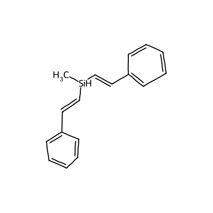 C[SiH](C=Cc1ccccc1)C=Cc1ccccc1